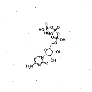 Nc1ccn([C@@H]2O[C@H](COP(=O)(O)OP(=O)(O)OP(=O)(O)O)C(O)[C@@H]2O)c(=S)n1